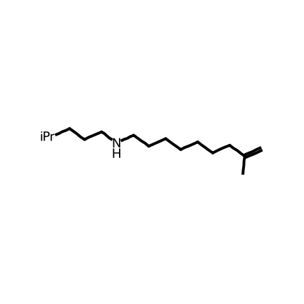 C=C(C)CCCCCCCNCCCC(C)C